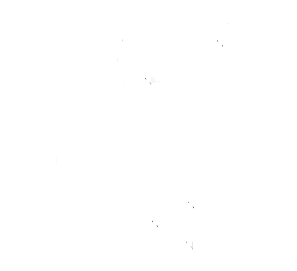 COc1ccc([N+](=O)[O-])cc1NC(=O)c1ccc(C)c(-c2ccc3nc(N)ncc3c2)c1